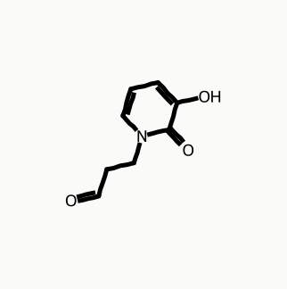 O=CCCn1cccc(O)c1=O